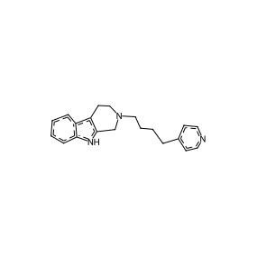 c1ccc2c3c([nH]c2c1)CN(CCCCc1ccncc1)CC3